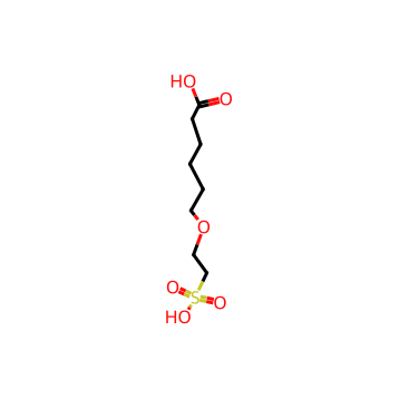 O=C(O)CCCCCOCCS(=O)(=O)O